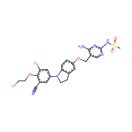 CS(=O)(=O)Nc1ncc(COc2ccc3c(c2)CCN3c2cc(Cl)c(OCCCl)c(C#N)c2)c(N)n1